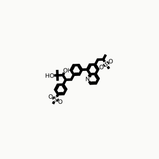 CC(Cc1cc(-c2cccc(CC(c3ccc(S(C)(=O)=O)cc3)C(O)C(C)(C)O)c2)c2ncccc2c1)S(C)(=O)=O